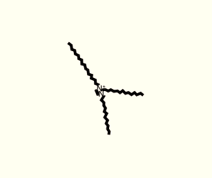 CCCCCCCCCCCCCCCCCC[n+]1ccn(CCCCCCCCCCCCCC)c1CCCCCCCCCCCCCC